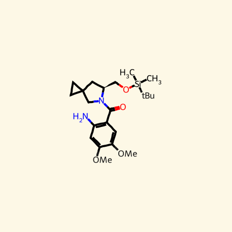 COc1cc(N)c(C(=O)N2CC3(CC3)C[C@H]2CO[Si](C)(C)C(C)(C)C)cc1OC